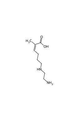 CC(=CCCCNCCN)C(=O)O